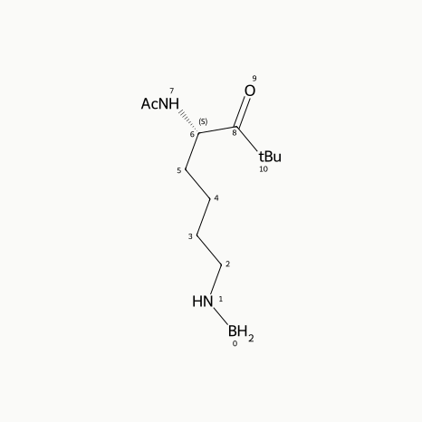 BNCCCC[C@H](NC(C)=O)C(=O)C(C)(C)C